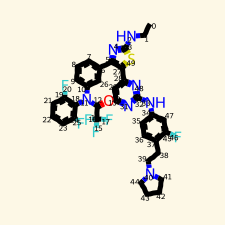 CCNc1nc(-c2cccc(N(C(=O)C(F)(F)F)c3c(F)cccc3F)c2)c(-c2ccnc(Nc3ccc(CCN4CCCC4)c(F)c3)n2)s1